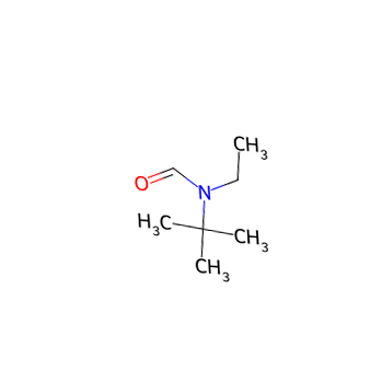 CCN(C=O)C(C)(C)C